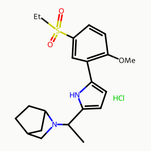 CCS(=O)(=O)c1ccc(OC)c(-c2ccc(C(C)N3CC4CCC3C4)[nH]2)c1.Cl